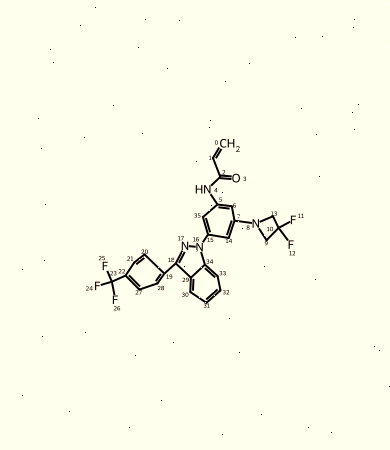 C=CC(=O)Nc1cc(N2CC(F)(F)C2)cc(-n2nc(-c3ccc(C(F)(F)F)cc3)c3ccccc32)c1